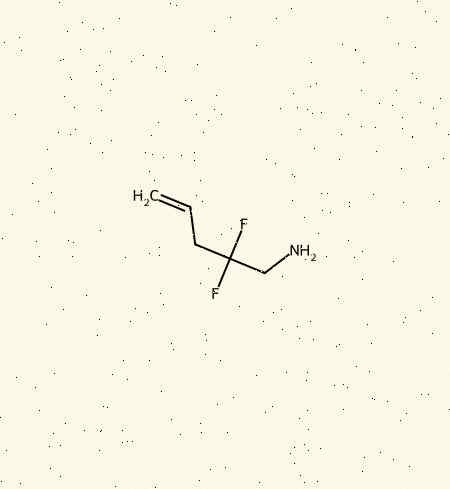 C=CCC(F)(F)CN